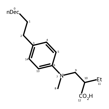 CCCCCCCCCCCCc1ccc(N(C)CC(CC)C(=O)O)cc1